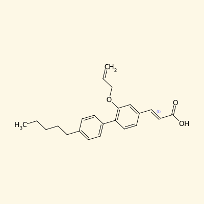 C=CCOc1cc(/C=C/C(=O)O)ccc1-c1ccc(CCCCC)cc1